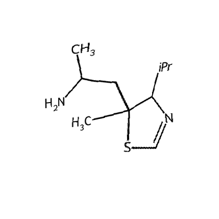 CC(N)CC1(C)SC=NC1C(C)C